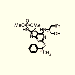 COP(=O)(Nc1nc2nc(S[C@@H](C)c3ccccc3)nc(N[C@@H](CO)CC(C)C)c2s1)OC